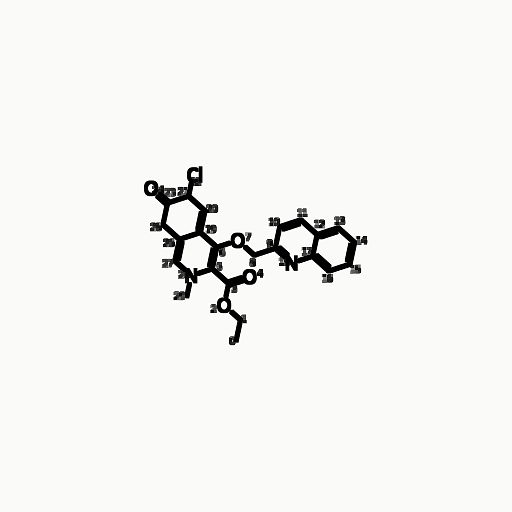 CCOC(=O)C1=C(OCc2ccc3ccccc3n2)C2=CC(Cl)C(=O)CC2=CN1C